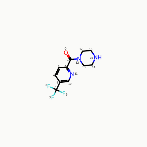 O=C(c1ccc(C(F)(F)F)cn1)N1CCNCC1